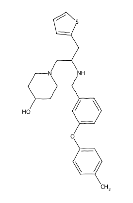 Cc1ccc(Oc2cccc(CNC(Cc3cccs3)CN3CCC(O)CC3)c2)cc1